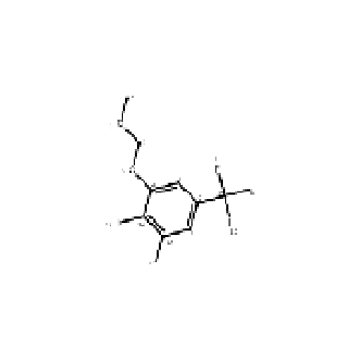 COCOc1cc(C(C)(F)F)cc(C)c1I